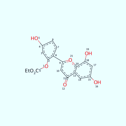 CCOC(=O)Oc1cc(O)ccc1-c1cc(=O)c2cc(O)cc(O)c2o1